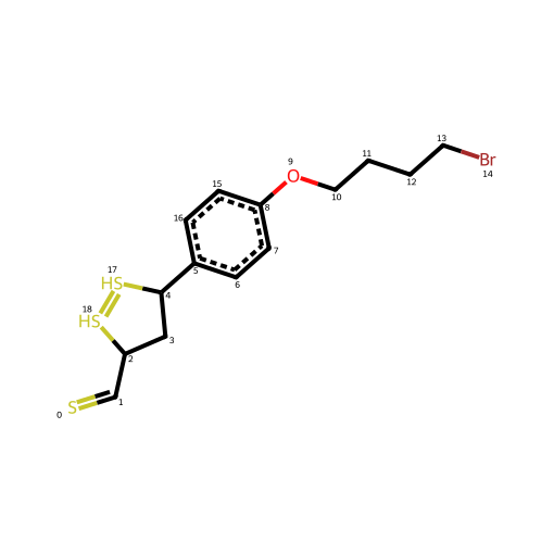 S=CC1CC(c2ccc(OCCCCBr)cc2)[SH]=[SH]1